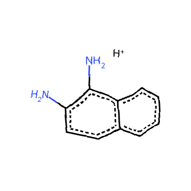 Nc1ccc2ccccc2c1N.[H+]